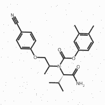 Cc1ccc(OC(=O)N(C(C)COc2ccc(C#N)cc2)[C@H](C(N)=O)C(C)C)cc1C